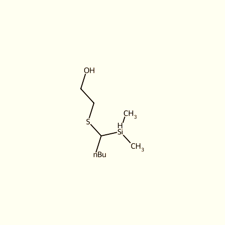 CCCCC(SCCO)[SiH](C)C